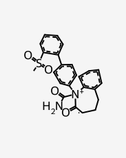 CS(=O)(=O)c1ccccc1-c1ccc([N+]2(C(N)=O)C(=O)[CH]CCc3ccccc32)cc1